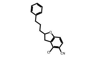 N#Cc1ccc2c(c1Cl)CC(CCCc1ccccc1)O2